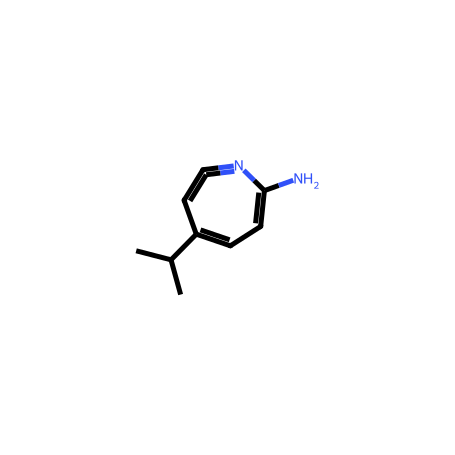 CC(C)C1=CC=C(N)N=C=C1